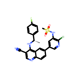 C[C@H](Nc1c(C#N)cnc2ccc(-c3cnc(Cl)c(NS(C)(=O)=O)c3)cc12)c1ccc(F)cc1